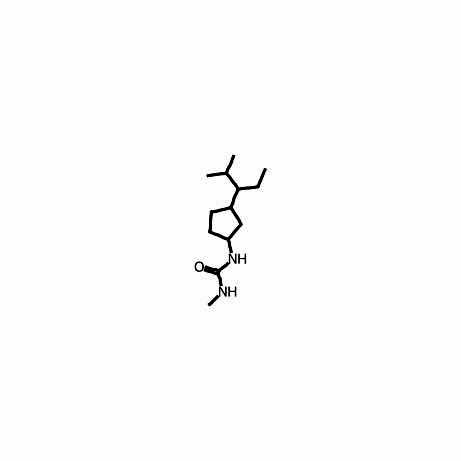 CCC(C(C)C)C1CCC(NC(=O)NC)C1